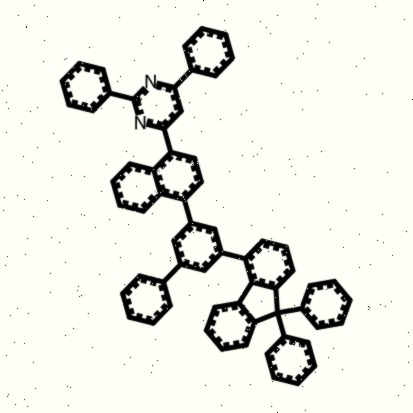 c1ccc(-c2cc(-c3cccc4c3-c3ccccc3C4(c3ccccc3)c3ccccc3)cc(-c3ccc(-c4cc(-c5ccccc5)nc(-c5ccccc5)n4)c4ccccc34)c2)cc1